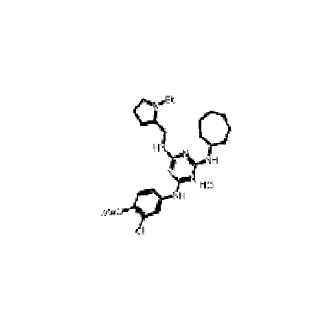 CCN1CCCC1CNc1nc(Nc2ccc(OC)c(Cl)c2)nc(NC2CCCCCC2)n1.Cl